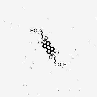 O=C(O)CCCCN1C(=O)c2ccc3c4ccc5c6c(ccc(c7ccc(c2c37)C1=O)c64)C(=O)N(CCCCC(=O)O)C5=O